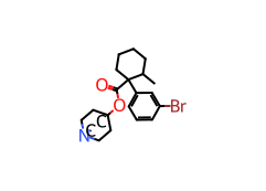 CC1CCCCC1(C(=O)OC12CCN(CC1)CC2)c1cccc(Br)c1